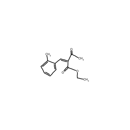 CCOC(=O)C(=Cc1ccccc1C)C(C)=O